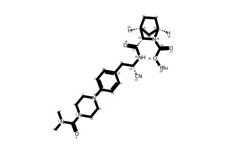 CN(C)C(=O)N1CCN(c2ccc(C[C@@H](C#N)NC(=O)[C@@H]3[C@H]4CC[C@H](C4)N3C(=O)OC(C)(C)C)cc2)CC1